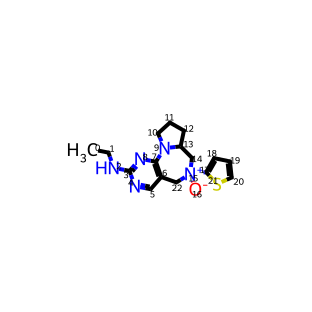 CCNc1ncc2c(n1)N1CCCC1C[N+]([O-])(c1cccs1)C2